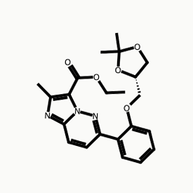 CCOC(=O)c1c(C)nc2ccc(-c3ccccc3OC[C@H]3COC(C)(C)O3)nn12